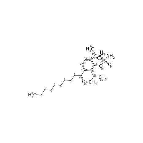 CCCCCCCCCC(=O)c1ccc(C(C)C)c(OS(N)(=O)=O)c1C(C)C